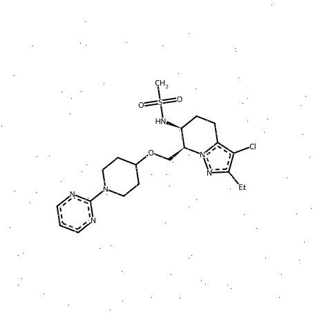 CCc1nn2c(c1Cl)CC[C@H](NS(C)(=O)=O)[C@@H]2COC1CCN(c2ncccn2)CC1